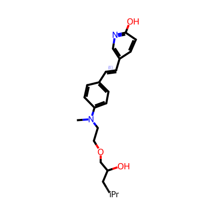 CC(C)CC(O)COCCN(C)c1ccc(/C=C/c2ccc(O)nc2)cc1